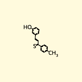 Cc1ccc(C(=S)C=Cc2cccc(O)c2)cc1